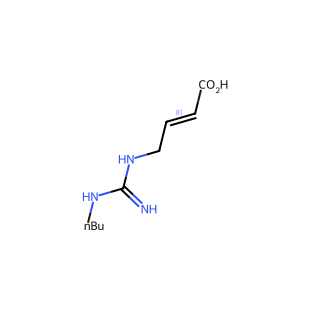 CCCCNC(=N)NC/C=C/C(=O)O